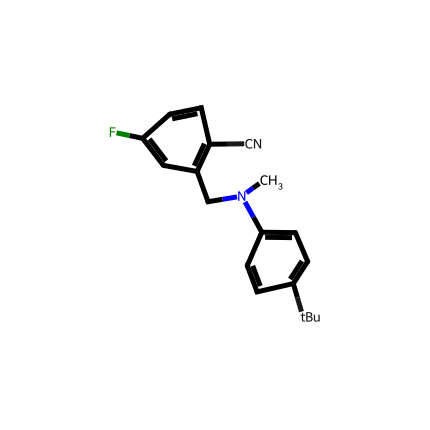 CN(Cc1cc(F)ccc1C#N)c1ccc(C(C)(C)C)cc1